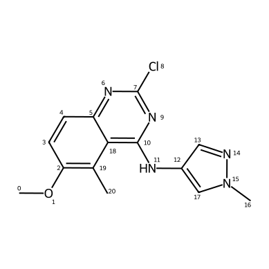 COc1ccc2nc(Cl)nc(Nc3cnn(C)c3)c2c1C